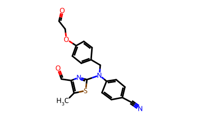 Cc1sc(N(Cc2ccc(OCC=O)cc2)c2ccc(C#N)cc2)nc1C=O